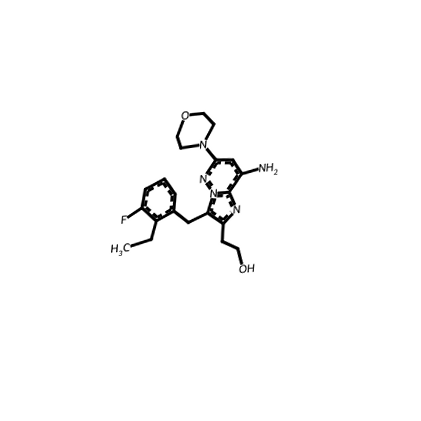 CCc1c(F)cccc1Cc1c(CCO)nc2c(N)cc(N3CCOCC3)nn12